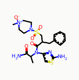 CC(C(N)=O)N(C(=O)C(Cc1ccccc1)CS(=O)(=O)N1CC[N+](C)([O-])CC1)c1csc(N)n1